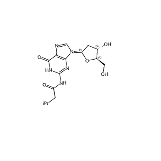 CC(C)CC(=O)Nc1nc2c(ncn2[C@H]2C[C@H](O)[C@@H](CO)O2)c(=O)[nH]1